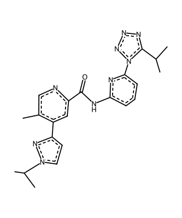 Cc1cnc(C(=O)Nc2cccc(-n3nnnc3C(C)C)n2)cc1-c1ccn(C(C)C)n1